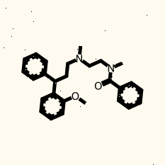 COc1ccccc1C(CCN(C)CCN(C)C(=O)c1ccccc1)c1ccccc1